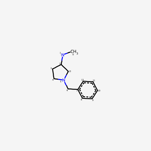 C[N]C1CCN(Cc2ccccc2)C1